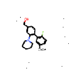 COc1ccc(F)c(-c2ccc(CO)cc2N2CCCCC2)c1